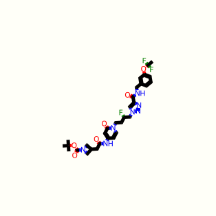 CC(C)(C)OC(=O)N1CC(CC(=O)Nc2ccn(CCC(F)Cn3cc(C(=O)NCc4cccc(OC(C)(F)F)c4)nn3)c(=O)c2)C1